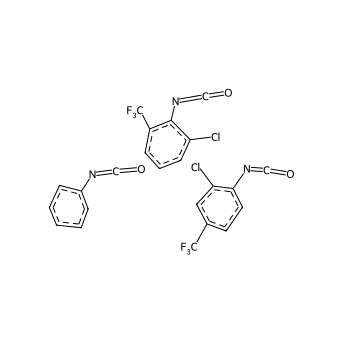 O=C=Nc1c(Cl)cccc1C(F)(F)F.O=C=Nc1ccc(C(F)(F)F)cc1Cl.O=C=Nc1ccccc1